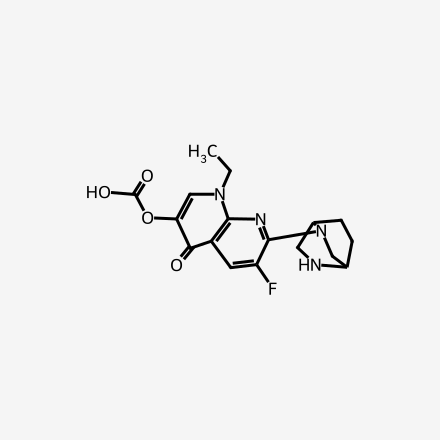 CCn1cc(OC(=O)O)c(=O)c2cc(F)c(N3CC4CCC3CN4)nc21